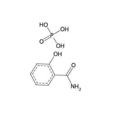 NC(=O)c1ccccc1O.O=P(O)(O)O